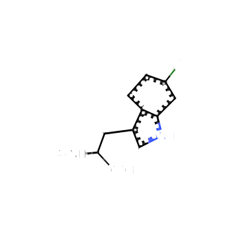 CC(=O)NC(Cc1c[nH]c2cc(Cl)ccc12)C(=O)O